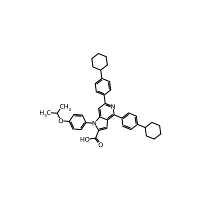 CC(C)Oc1ccc(-n2c(C(=O)O)cc3c(-c4ccc(C5CCCCC5)cc4)nc(-c4ccc(C5CCCCC5)cc4)cc32)cc1